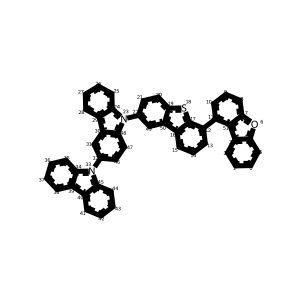 c1ccc2c(c1)oc1cccc(-c3cccc4c3sc3ccc(-n5c6ccccc6c6cc(-n7c8ccccc8c8ccccc87)ccc65)cc34)c12